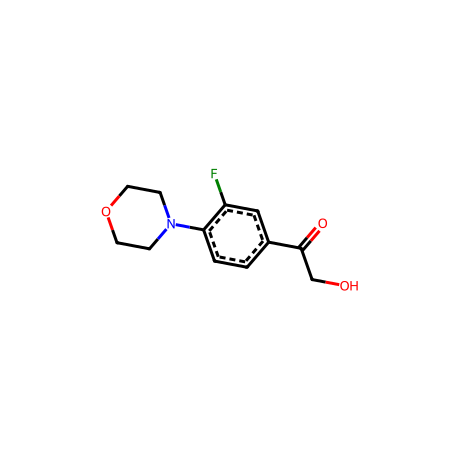 O=C(CO)c1ccc(N2CCOCC2)c(F)c1